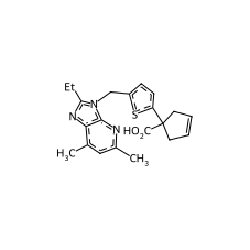 CCc1nc2c(C)cc(C)nc2n1Cc1ccc(C2(C(=O)O)CC=CC2)s1